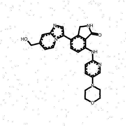 O=C1NCc2c(-c3cnc4cc(CO)ccn34)ccc(Nc3ccc(N4CCOCC4)cn3)c21